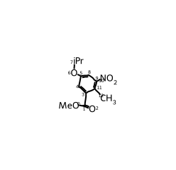 COC(=O)c1cc(OC(C)C)cc([N+](=O)[O-])c1C